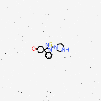 O=C1CCC(c2ccccc2)(c2nsc(N3CCCNCC3)n2)CC1